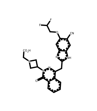 N#Cc1cc2[nH]c(Cc3nn(C4CN(CC(=O)O)C4)c(=O)c4ccccc34)nc2cc1OCC(F)F